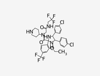 CCOc1cc(C(F)(F)F)ccc1C1(C(=O)N(CC(=O)NCC(F)(F)F)C2CCNCC2)NC(c2ccc(Cl)cc2)C(c2ccc(Cl)cc2)N1